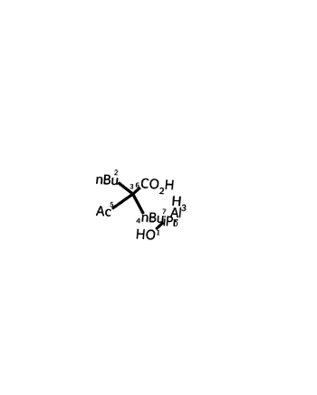 CC(C)O.CCCCC(CCCC)(C(C)=O)C(=O)O.[AlH3]